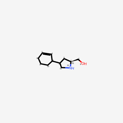 OC[C@@H]1CC(C2C=CCCC2)CN1